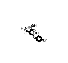 NC(=O)C(CC(O)Sc1ccc(Br)cc1)C(=O)NO